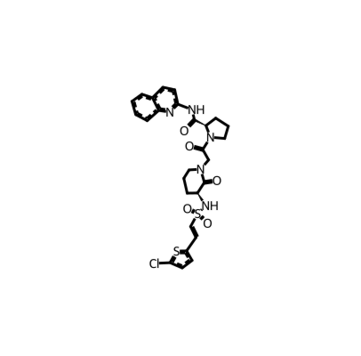 O=C(Nc1ccc2ccccc2n1)[C@H]1CCCN1C(=O)CN1CCC[C@H](NS(=O)(=O)/C=C/c2ccc(Cl)s2)C1=O